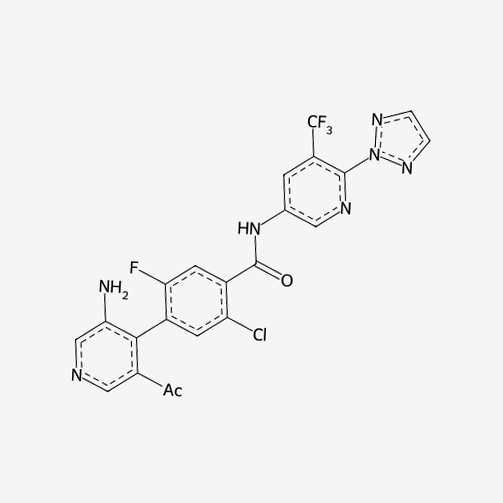 CC(=O)c1cncc(N)c1-c1cc(Cl)c(C(=O)Nc2cnc(-n3nccn3)c(C(F)(F)F)c2)cc1F